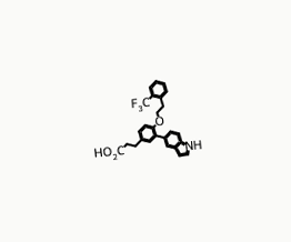 O=C(O)CCc1ccc(OCCc2ccccc2C(F)(F)F)c(-c2ccc3[nH]ccc3c2)c1